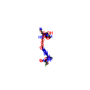 COCCN1C[C@@H](NC(=O)Nc2c(C)c(-c3cnc(N4CCN(C(=O)CCOCCOCCOCCNC(=O)C[C@H](NC(=O)[C@@H]5C[C@@H](O)CN5C(=O)[C@@H](NC(=O)C5(F)CC5)C(C)(C)C)c5ccc(-c6scnc6C)cc5)CC4)nc3)nn2-c2ccccc2)[C@H](c2cccc(F)c2)C1